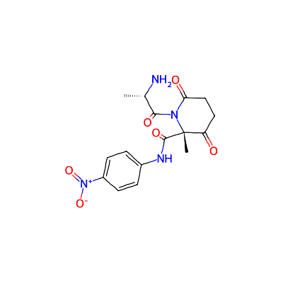 C[C@H](N)C(=O)N1C(=O)CCC(=O)[C@]1(C)C(=O)Nc1ccc([N+](=O)[O-])cc1